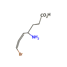 NC(C=C=CBr)CCC(=O)O